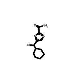 NC(=O)c1nc(C(O)C2CCCCC2)cs1